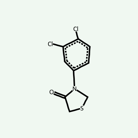 O=C1CSCN1c1ccc(Cl)c(Cl)c1